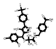 Cc1c(C(OC(C)(C)C(=O)NCc2ccc(C(=O)O)cc2)c2ccc(Cl)cc2Cl)n[nH]c1-c1ccc(C(F)(F)F)cc1